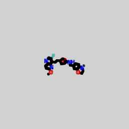 COc1ccc2ncc(F)c(CCC34CCC(NCc5ccc6c(c5)OCCN6C)(CC3)CO4)c2n1